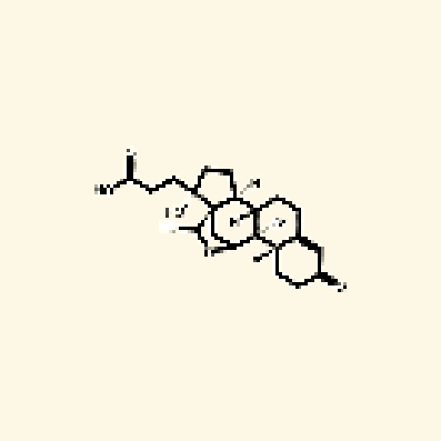 C[C@]12CCC(=O)C=C1CC[C@H]1[C@@H]3CC[C@](O)(CCC(=O)O)[C@@]34CC(OC4O)[C@@]12Br